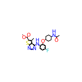 COC(=O)c1sc2ncnc(Nc3ccc(F)cc3OC3CCC(NC(C)=O)CC3)c2c1C